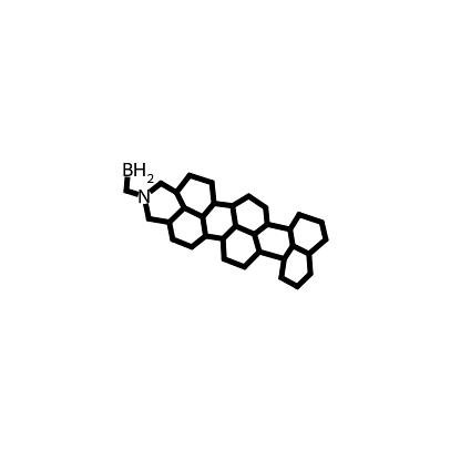 BCN1CC2CCC3C4CCC5C6CCCC7CCCC(C8CCC(C9CCC(C1)C2C39)C4C58)C76